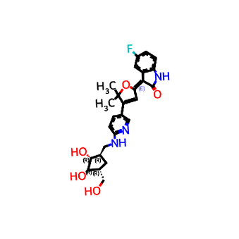 CC1(C)O/C(=C2/C(=O)Nc3ccc(F)cc32)C=C1c1ccc(NC[C@H]2C[C@H](CO)[C@@H](O)[C@@H]2O)nc1